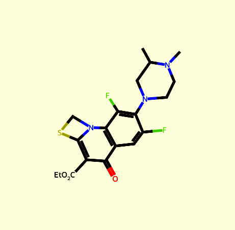 CCOC(=O)c1c2n(c3c(F)c(N4CCN(C)C(C)C4)c(F)cc3c1=O)CS2